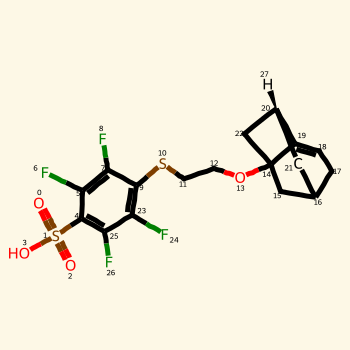 O=S(=O)(O)c1c(F)c(F)c(SCCOC23CC4CC=C2[C@H](C4)C3)c(F)c1F